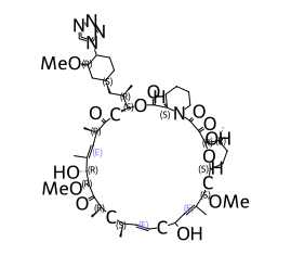 CO[C@H]1C[C@@H]2CC[C@@H](C)[C@@](O)(O2)C(=O)C(=O)N2CCCC[C@H]2C(=O)O[C@H]([C@H](C)C[C@@H]2CCC(n3cnnn3)[C@H](OC)C2)CC(=O)[C@H](C)/C=C(\C)[C@@H](O)[C@@H](OC)C(=O)[C@H](C)C[C@H](C)/C=C/CC(O)/C=C/1C